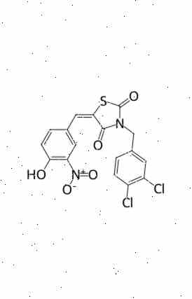 O=C1SC(=Cc2ccc(O)c([N+](=O)[O-])c2)C(=O)N1Cc1ccc(Cl)c(Cl)c1